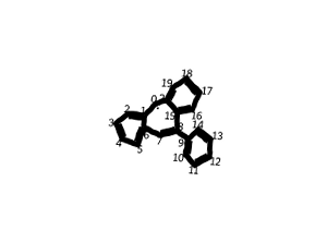 [C]1c2ccccc2C=C(c2ccccc2)c2ccccc21